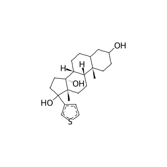 C[C@]12CCC(O)CC1CC[C@@H]1[C@H]2CC[C@]2(C)C(O)(c3ccsc3)CC[C@@]12O